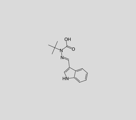 CC(C)(C)N(N=Cc1c[nH]c2ccccc12)C(=O)O